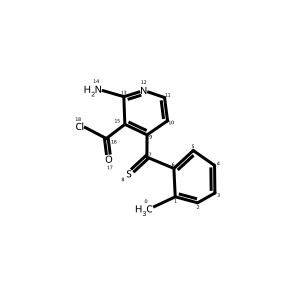 Cc1ccccc1C(=S)c1ccnc(N)c1C(=O)Cl